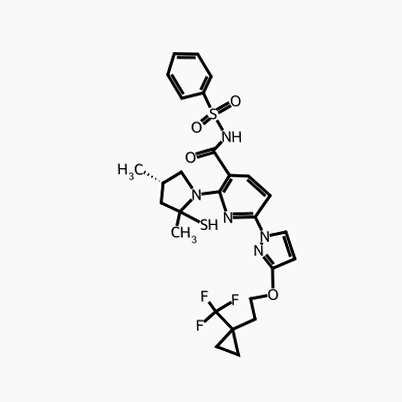 C[C@@H]1CN(c2nc(-n3ccc(OCCC4(C(F)(F)F)CC4)n3)ccc2C(=O)NS(=O)(=O)c2ccccc2)C(C)(S)C1